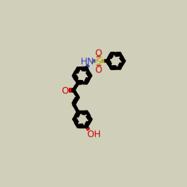 O=C(C=Cc1ccc(O)cc1)c1ccc(NS(=O)(=O)c2ccccc2)cc1